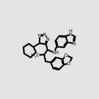 CC(Cc1ccc2c(c1)OCO2)C(Nc1ccc2[nH]cnc2c1)C1=NN=NC1C1CCCCC1